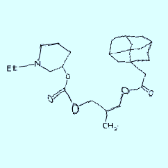 [CH2]C(COC(=O)CC12CC3CC(CC(C3)C1)C2)COC(=O)OC1CCCN(CC)C1